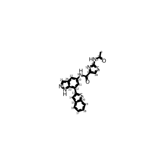 CC(=O)Nc1nc(C(=O)Nc2cc(-c3cc4ccccc4s3)c3[nH]ncc3c2)cs1